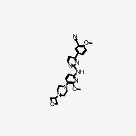 COc1ccc(-c2ccnc(Nc3ccc(N4CCN(C5COC5)CC4)c(OC)n3)n2)cc1C#N